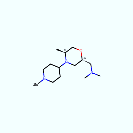 C[C@H]1CO[C@H](CN(C)C)CN1C1CCN(C(C)(C)C)CC1